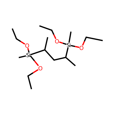 CCO[Si](C)(OCC)C(C)CC(C)[Si](C)(OCC)OCC